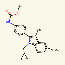 COc1ccc2c(c1)c(C#N)c(-c1ccc(NC(=O)OC(C)C)cc1)n2CC1CC1